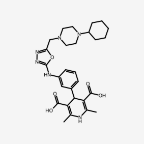 CC1=C(C(=O)O)C(c2cccc(Nc3nnc(CN4CCN(C5CCCCC5)CC4)o3)c2)C(C(=O)O)=C(C)N1